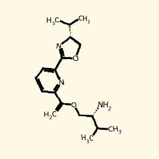 C=C(OC[C@H](N)C(C)C)c1cccc(C2=N[C@H](C(C)C)CO2)n1